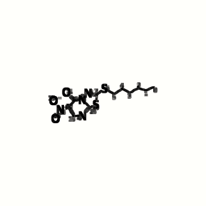 CCCCCCSc1nn2c(=O)c([N+](=O)[O-])cnc2s1